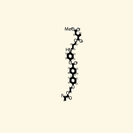 C=C(F)C(=O)OCCOc1ccc(-c2ccc(C(=O)Oc3ccc(NCCCOC(=O)C(=C)CC(=O)OC)cc3)cc2)cc1